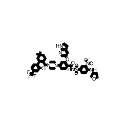 CC1(C)CCC(CN2CCN(c3ccc(C(=O)NS(=O)(=O)c4ccc(N[C@H]5CCOC5)c([N+](=O)[O-])c4)c(Oc4cnc5[nH]ccc5c4)c3)CC2)=C(c2ccc(C(F)(F)F)cc2Cl)C1